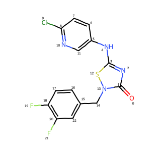 O=c1nc(Nc2ccc(Cl)nc2)sn1Cc1ccc(F)c(F)c1